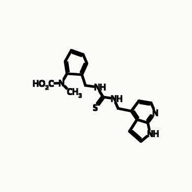 CN(C(=O)O)c1ccccc1CNC(=S)NCc1ccnc2[nH]ccc12